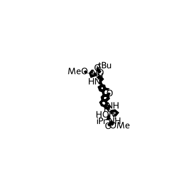 COC[C@H]1C[C@@H](c2ncc(-c3ccc4c(c3)COc3cc5c(cc3-4)CCc3nc([C@@H]4CC[C@H](C)N4C(O)[C@@H](NC(=O)OC)C(C)C)[nH]c3-5)[nH]2)N(C(=O)OC(C)(C)C)C1